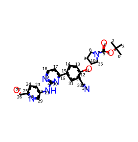 CC(C)(C)OC(=O)N1CC[C@@H](Oc2ccc(-c3ccnc(Nc4ccc(C=O)nc4)n3)cc2C#N)C1